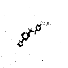 CCOC(=O)c1ccc(NC(=O)c2ccc(-c3cccs3)cc2)cc1